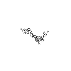 COc1cccc(CNc2cnc(S(=O)(=O)Nc3nc(-c4ccc(C5CC5)c(F)c4)c(F)s3)c(C)c2)c1O